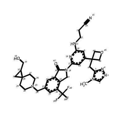 Cn1cnnc1CC1(c2cc(NCCC#N)nc(N3Cc4c(cc(CN5CCC6(CC5)CC6CO)cc4C(F)(F)F)C3=O)c2)COC1